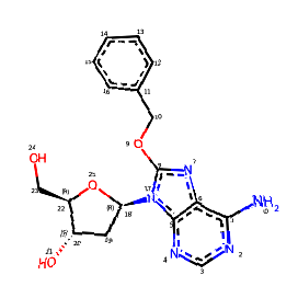 Nc1ncnc2c1nc(OCc1ccccc1)n2[C@H]1C[C@H](O)[C@@H](CO)O1